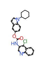 O=C(Nc1cnc2ccccc2c1Cl)Oc1ccc2c(ccn2C2CCCCC2)c1